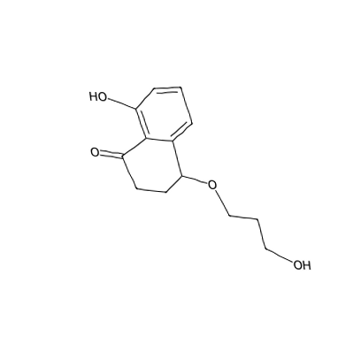 O=C1CCC(OCCCO)c2cccc(O)c21